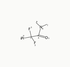 CC(C)C(F)(F)C(=O)N(C)C